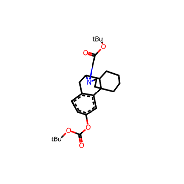 CC(C)(C)OC(=O)Oc1ccc2c(c1)C13CCCCC1C(C2)N(C(=O)OC(C)(C)C)CC3